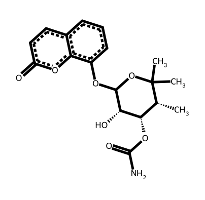 C[C@@H]1[C@H](OC(N)=O)[C@H](O)C(Oc2cccc3ccc(=O)oc23)OC1(C)C